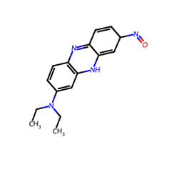 CCN(CC)c1ccc2c(c1)NC1=CC(N=O)C=CC1=N2